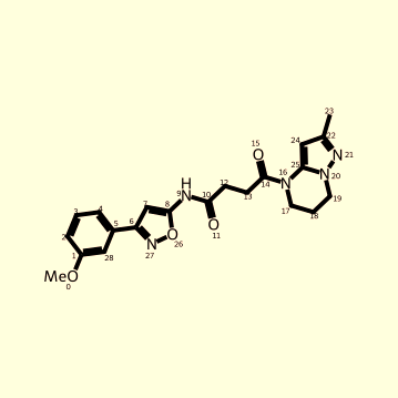 COc1cccc(-c2cc(NC(=O)CCC(=O)N3CCCn4nc(C)cc43)on2)c1